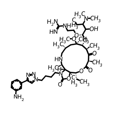 CCC(C(O)[C@@H](OCCNC(=N)N)O[C@@H]1[C@@H](C)C(=O)[C@@H](C)C(=O)O[C@H](CC)[C@@]2(C)OC(=O)N(CCCCn3cc(-c4cccc(N)c4)nn3)[C@@H]2[C@@H](C)NC[C@H](C)C[C@@]1(C)OC)N(C)C